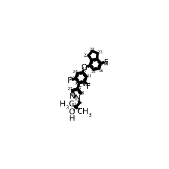 CC(C)(O)Cn1cc(-c2c(F)cc(Oc3ccc(F)c4c3CCC4)cc2F)cn1